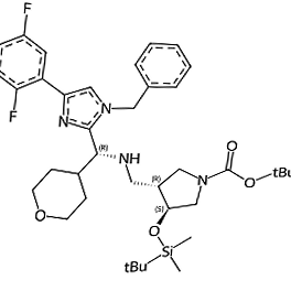 CC(C)(C)OC(=O)N1C[C@@H](CN[C@@H](c2nc(-c3cc(F)ccc3F)cn2Cc2ccccc2)C2CCOCC2)[C@H](O[Si](C)(C)C(C)(C)C)C1